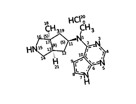 CN(c1ncnc2[nH]ccc12)[C@H]1C[C@H]2CNC[C@@]2(C)C1.Cl